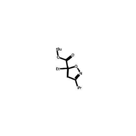 CCC1(C(=O)OC(C)(C)C)CC(C(C)C)=NO1